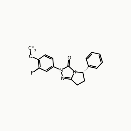 O=c1n(-c2ccc(OC(F)(F)F)c(F)c2)nc2n1[C@H](c1ccccc1)CC2